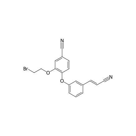 N#CC=Cc1cccc(Oc2ccc(C#N)cc2OCCBr)c1